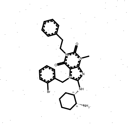 Cn1c(=O)n(CCc2ccccc2)c(=O)c2c1nc(N[C@H]1CCCC[C@H]1N)n2Cc1ccccc1Br